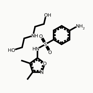 Cc1noc(NS(=O)(=O)c2ccc(N)cc2)c1C.OCCNCCO